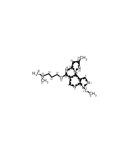 CCn1ncc2c1ncc1c(OCCCN(C)C)nc3cc(C)nn3c12